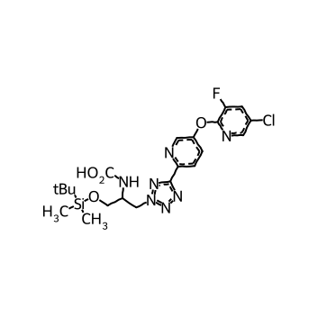 CC(C)(C)[Si](C)(C)OCC(Cn1nnc(-c2ccc(Oc3ncc(Cl)cc3F)cn2)n1)NC(=O)O